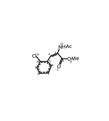 COC(=O)C(=Cc1ccccc1Cl)NC(C)=O